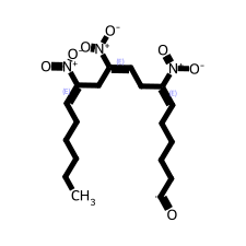 CCCCC/C=C(\C/C(=C\C/C(=C\CCCC[C]=O)[N+](=O)[O-])[N+](=O)[O-])[N+](=O)[O-]